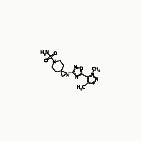 Cc1cnn(C)c1-c1nc([C@@H]2CC23CCN(S(N)(=O)=O)CC3)no1